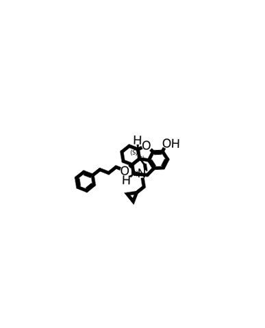 Oc1ccc2c3c1O[C@H]1CCCC4(OCCCc5ccccc5)[C@@H](C2)N(CC2CC2)CC[C@]314